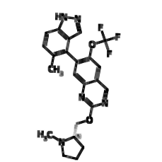 Cc1ccc2[nH]ncc2c1-c1cc2nc(OC[C@@H]3CCCN3C)ncc2cc1OC(F)(F)F